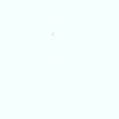 CC(C)(C)S(=O)(=O)N[C@H]1CC[C@H](C(=O)NCCSCc2ccccc2)CC1